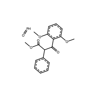 COC(=O)C(C(=O)c1c(OC)cccc1OC)c1ccccc1.O=P